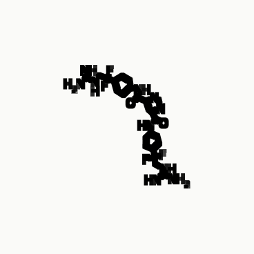 N=C(N)NCC(F)(F)c1ccc(NC(=O)c2cc(C(=O)Nc3ccc(C(F)(F)CNC(=N)N)cc3)ncn2)cc1